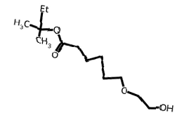 CCC(C)(C)OC(=O)CCCCCOCCO